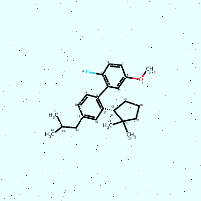 COc1ccc(F)c(-c2ccc(CC(C)C)cc2[C@@H]2CCCC2(C)C)c1